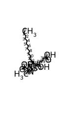 CCCCCCCCCCCCC#CC(Sc1nc(C)c(C(=O)O)n1C)C(O)CCCC(=O)O